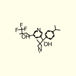 CC(C)c1ccc([C@](O)(c2cncc(CCC(C)(O)C(F)(F)F)c2)C2(C)CN(C)C2)cc1